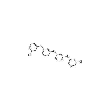 Clc1cccc(Sc2cccc(Oc3cccc(Sc4cccc(Cl)c4)c3)c2)c1